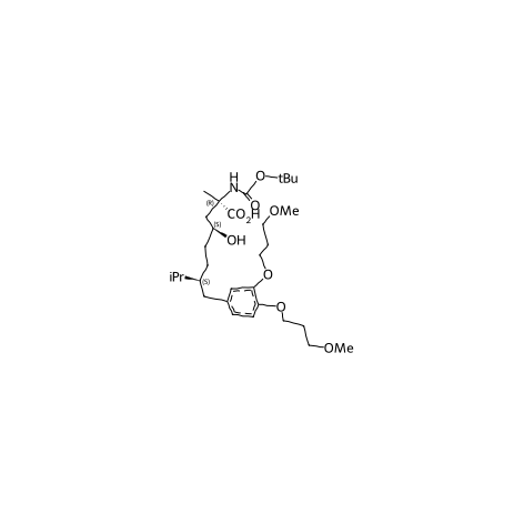 COCCCOc1ccc(C[C@H](CC[C@H](O)C[C@@](C)(NC(=O)OC(C)(C)C)C(=O)O)C(C)C)cc1OCCCOC